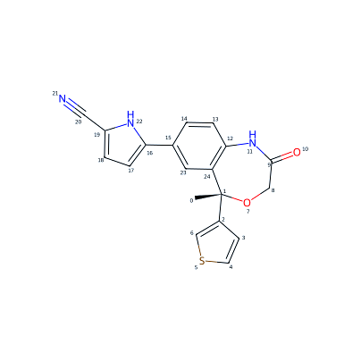 C[C@]1(c2ccsc2)OCC(=O)Nc2ccc(-c3ccc(C#N)[nH]3)cc21